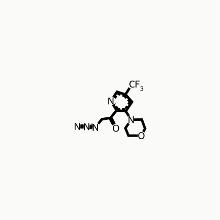 [N-]=[N+]=NCC(=O)c1ncc(C(F)(F)F)cc1N1CCOCC1